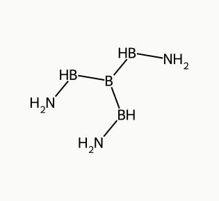 NBB(BN)BN